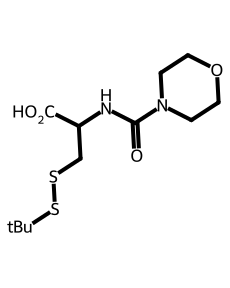 CC(C)(C)SSCC(NC(=O)N1CCOCC1)C(=O)O